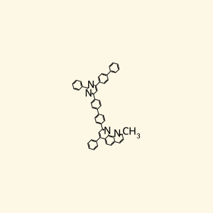 Cc1ccc2ccc3c(-c4ccccc4)cc(-c4ccc(-c5ccc(-c6cc(-c7ccc(-c8ccccc8)cc7)nc(-c7ccccc7)n6)cc5)cc4)nc3c2n1